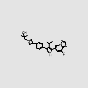 COc1cc(-c2[nH]nc(-c3ccc(C4CN(CC(C)(C)O)C4)cc3)c2C(C)C)cn2ncnc12